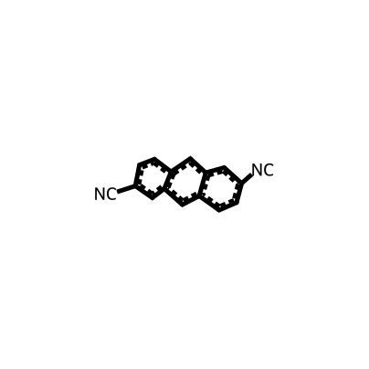 [C-]#[N+]c1ccc2cc3cc(C#N)ccc3cc2c1